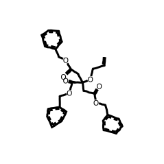 C=CCOC(CC(=O)OCc1ccccc1)(CC(=O)OCc1ccccc1)C(=O)OCc1ccccc1